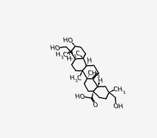 C[C@@]1(CO)CC[C@]2(C(=O)O)CC[C@]3(C)C(=CC[C@@H]4[C@@]5(C)CC[C@H](O)[C@@](C)(CO)[C@@H]5CC[C@]43C)[C@@H]2C1